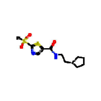 CCS(=O)(=O)c1ncc(C(=O)NCCC2CCCC2)s1